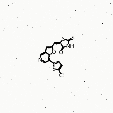 O=C1NC(=S)SC1=Cc1cc2cncc(-c3ccc(Cl)s3)c2o1